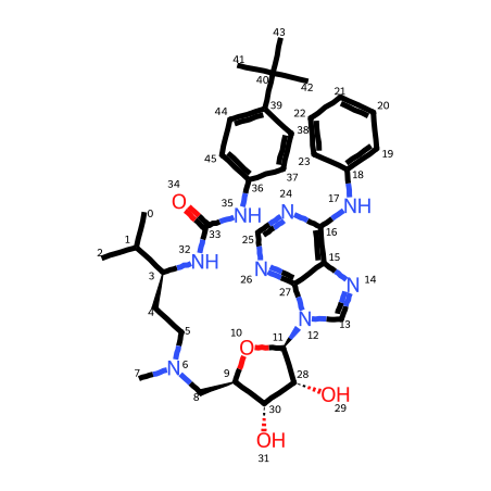 CC(C)[C@H](CCN(C)C[C@H]1O[C@@H](n2cnc3c(Nc4ccccc4)ncnc32)[C@H](O)[C@@H]1O)NC(=O)Nc1ccc(C(C)(C)C)cc1